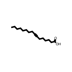 CCCCCCCCC#CCCCCCC(=O)O